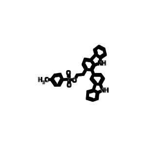 Cc1ccc(S(=O)(=O)OCCc2ccc3c([nH]c4ccccc43)c2-c2ccc3[nH]c4ccccc4c3c2)cc1